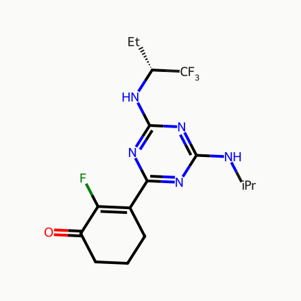 CC[C@@H](Nc1nc(NC(C)C)nc(C2=C(F)C(=O)CCC2)n1)C(F)(F)F